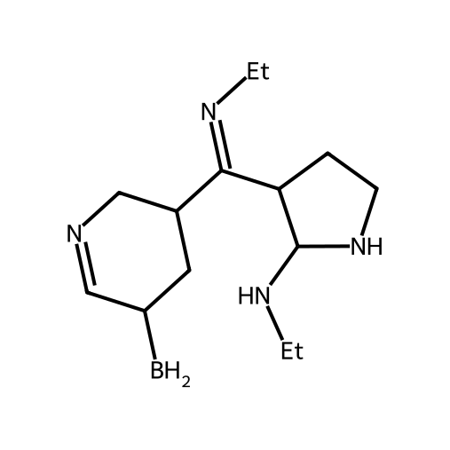 BC1C=NCC(/C(=N/CC)C2CCNC2NCC)C1